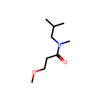 COCCC(=O)N(C)CC(C)C